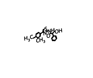 CCC1C=CC(c2csc(NC(=O)C(CO)c3ccccc3)n2)=CC1C